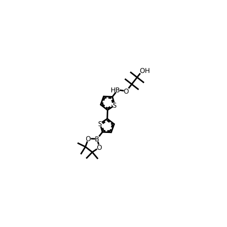 CC(C)(O)C(C)(C)OBc1ccc(-c2ccc(B3OC(C)(C)C(C)(C)O3)s2)s1